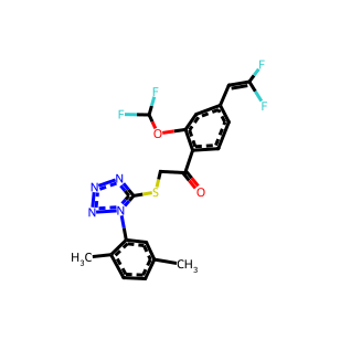 Cc1ccc(C)c(-n2nnnc2SCC(=O)c2ccc(C=C(F)F)cc2OC(F)F)c1